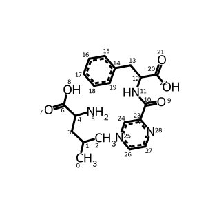 CC(C)CC(N)C(=O)O.O=C(NC(Cc1ccccc1)C(=O)O)c1cnccn1